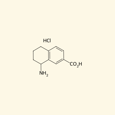 Cl.NC1CCCc2ccc(C(=O)O)cc21